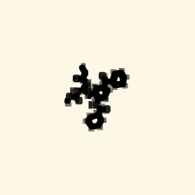 CCC(=O)N=C(NC(=O)OC)Nc1cc(C(=O)c2ccccc2)ccc1NC(=O)C1CCCCC1